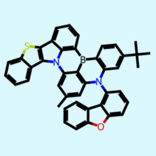 Cc1cc2c3c(c1)-n1c4c(cccc4c4sc5ccccc5c41)B3c1ccc(C(C)(C)C)cc1N2c1cccc2oc3ccccc3c12